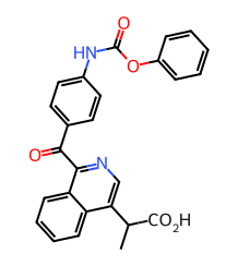 CC(C(=O)O)c1cnc(C(=O)c2ccc(NC(=O)Oc3ccccc3)cc2)c2ccccc12